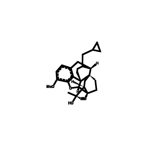 COc1ccc2c3c1O[C@H]1[C@@]4(O)CC[C@@]5(C[C@@H]4[C@](C)(O)C(C)(C)C)[C@@H](C2)C(CC2CC2)CC[C@]315